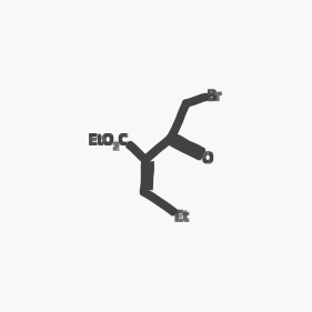 CCC=C(C(=O)CBr)C(=O)OCC